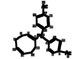 CC(=O)c1cc[c]([Pt]([C]2=CCCC=CCC2)[c]2ccc(C(C)=O)cc2)cc1